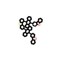 C1=C(c2c3ccccc3c(-c3cccc4sc5ccc(-c6c7ccccc7c(-c7ccc8oc9ccccc9c8c7)c7ccccc67)cc5c34)c3ccccc23)CCc2oc3ccccc3c21